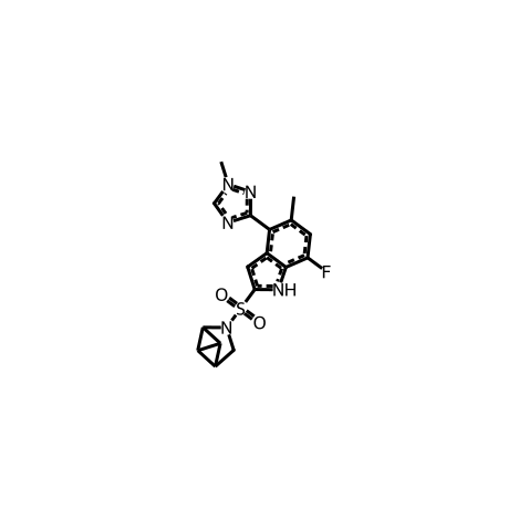 Cc1cc(F)c2[nH]c(S(=O)(=O)N3CC4C5C4C53)cc2c1-c1ncn(C)n1